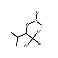 CC(C)C(OP(Cl)Cl)C(Br)(Br)Br